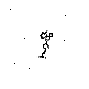 O=C(O)C=Cc1ccc(NCC2(c3ncccc3F)CCC2)nn1